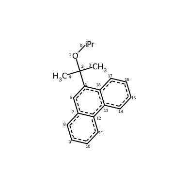 CC(C)OC(C)(C)c1cc2ccccc2c2ccccc12